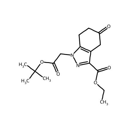 CCOC(=O)c1nn(CC(=O)OC(C)(C)C)c2c1CC(=O)CC2